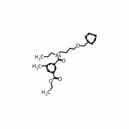 CCC[As](CCCCOCc1ccccc1)C(=O)c1cc(C)cc(C(=O)OCC)c1